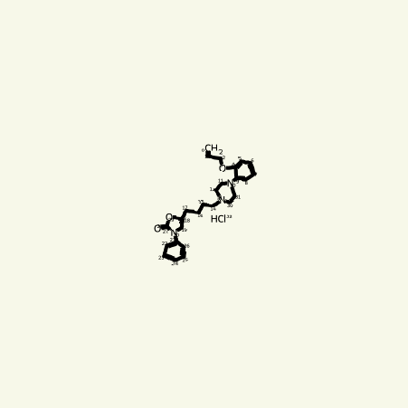 C=CCOc1ccccc1N1CCN(CCCCC2CN(c3ccccc3)C(=O)O2)CC1.Cl